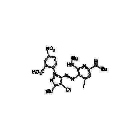 CCC(C)Nc1cc(C)c(N=Nc2c(C#N)c(C(C)(C)C)nn2-c2ccc([N+](=O)[O-])cc2C(=O)O)c(NC(C)CC)n1